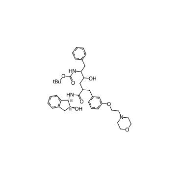 CC(C)(C)OC(=O)NC(Cc1ccccc1)C(O)CC(Cc1cccc(OCCN2CCOCC2)c1)C(=O)N[C@H]1c2ccccc2C[C@@H]1O